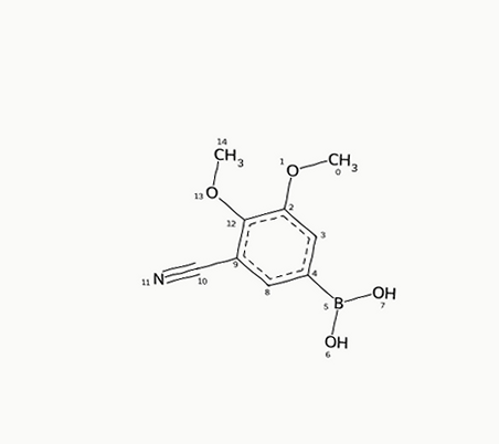 COc1cc(B(O)O)cc(C#N)c1OC